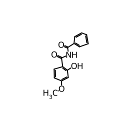 COc1ccc(C(=O)NC(=O)c2ccccc2)c(O)c1